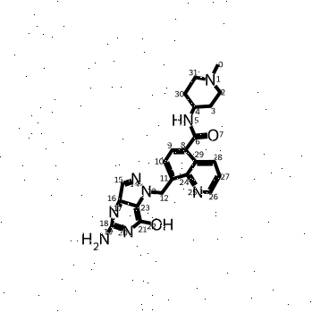 CN1CCC(NC(=O)c2ccc(Cn3ncc4nc(N)nc(O)c43)c3ncccc23)CC1